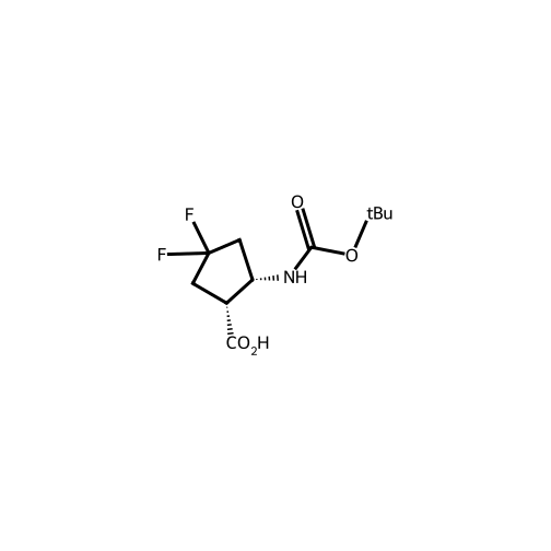 CC(C)(C)OC(=O)N[C@H]1CC(F)(F)C[C@H]1C(=O)O